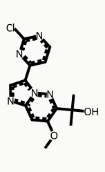 COc1cc2ncc(-c3ccnc(Cl)n3)n2nc1C(C)(C)O